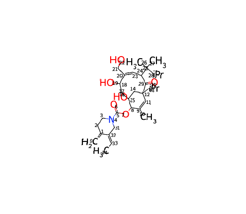 C=C1CCN(C(=O)OC2C(C)=CC3(C(C)C)CC2(O)CC(O)/C(CO)=C\C(C(C)(C)C(C)C)C3=O)C/C1=C/C